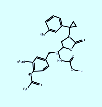 CCCCCc1cc(C[C@H](NC(=O)OC(C)(C)C)C2CN(C3(c4cccc(C(C)(C)C)c4)CC3)C(=O)O2)ccc1NC(=O)C(F)(F)F